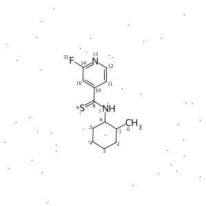 CC1CCCCC1NC(=S)c1ccnc(F)c1